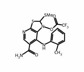 CSC1Sc2ncc(C(N)=O)c(Nc3ccccc3C)c2N1OC(=O)C(F)(F)F